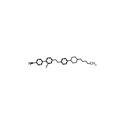 CCCCCC1CCC(c2ccc(CCc3ccc(-c4ccc(C#N)cc4)c(F)c3)cc2)CC1